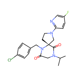 CC(C)N1CC(=O)N(Cc2ccc(Cl)cc2)[C@@]2(CCN(c3ccc(F)cn3)C2)C1=O